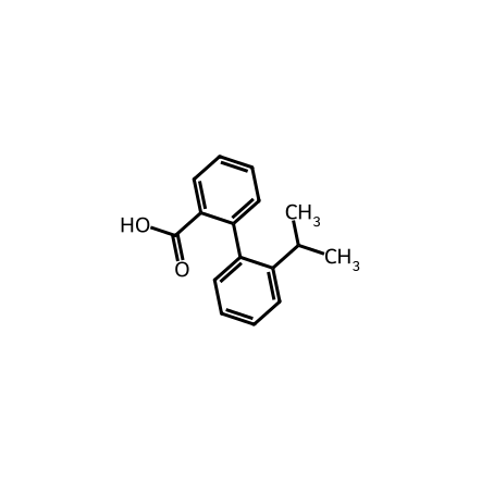 CC(C)c1ccccc1-c1ccccc1C(=O)O